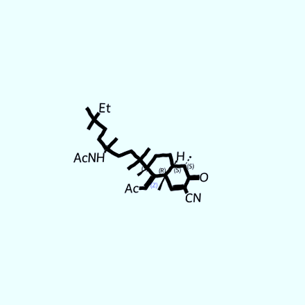 CCC(C)(C)CC[C@@](C)(CCC(C)(C)[C@]1(C)CC[C@H]2[C@H](C)C(=O)C(C#N)=C[C@]2(C)/C1=C/C(C)=O)NC(C)=O